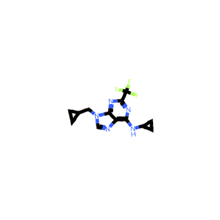 FC(F)(F)c1nc(NC2CC2)c2ncn(CC3CC3)c2n1